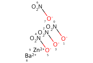 O=[N+]([O-])[O-].O=[N+]([O-])[O-].O=[N+]([O-])[O-].O=[N+]([O-])[O-].[Ba+2].[Zn+2]